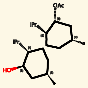 CC(=O)O[C@@H]1C[C@H](C)CC[C@H]1C(C)C.CC(C)[C@@H]1CC[C@H](C)C[C@H]1O